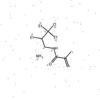 C=C(C)C(=O)NCC(CC)C(Cl)(CC)CC.N